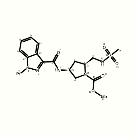 CC(C)n1nc(C(=O)N[C@H]2C[C@@H](CNS(C)(=O)=O)N(C(=O)OC(C)(C)C)C2)c2ccccc21